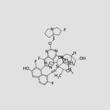 CC(C)[Si](C#Cc1c(F)ccc2cc(O)c(F)c(-c3ncc4c(N5C[C@@H]6C[C@H](C5)[C@H](O)C6)nc(OC[C@@]56CCCN5C[C@H](F)C6)nc4c3F)c12)(C(C)C)C(C)C